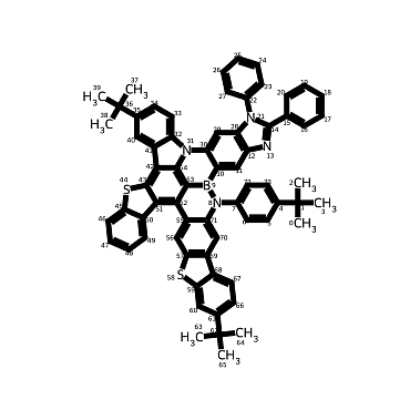 CC(C)(C)c1ccc(N2B3c4cc5nc(-c6ccccc6)n(-c6ccccc6)c5cc4-n4c5ccc(C(C)(C)C)cc5c5c6sc7ccccc7c6c(c3c54)-c3cc4sc5cc(C(C)(C)C)ccc5c4cc32)cc1